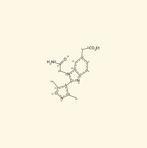 CCOC(=O)Cc1ccc2nc(-c3c(C)noc3C)n(CC(N)=O)c2c1